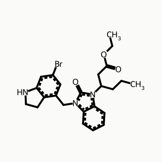 CCCC(CC(=O)OCC)n1c(=O)n(Cc2cc(Br)cc3c2CCN3)c2ccccc21